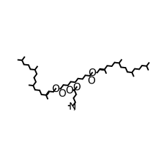 C/C(=C\COC(=O)CCCC(CCCC(=O)OC/C=C(\C)CCCC(C)CCCC(C)CCCC(C)C)OC(=O)CCCN(C)C)CCCC(C)CCCC(C)CCCC(C)C